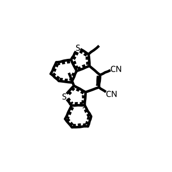 Cc1sc2ccccc2c1/C(C#N)=C(/C#N)c1c(C)sc2ccccc12